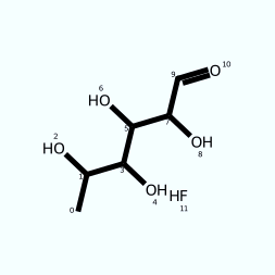 CC(O)C(O)C(O)C(O)C=O.F